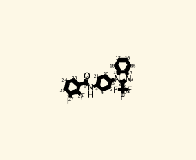 O=C(Nc1ccc(-n2c(C(F)(F)F)nc3ccccc32)cc1)c1cccc(F)c1F